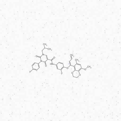 C=C/C=C(/Oc1ccc(NC(=O)c2cn(CC(C)C)c(=O)n(-c3ccc(F)cc3)c2=O)cc1F)c1c(C)cc(OC)c2c1OCCO2